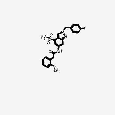 COc1ccccc1CC(=O)Nc1cc(S(C)(=O)=O)c2cn(Cc3ccc(F)cc3)nc2c1